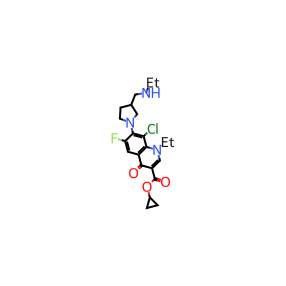 CCNCC1CCN(c2c(F)cc3c(=O)c(C(=O)OC4CC4)cn(CC)c3c2Cl)C1